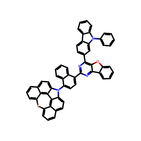 c1ccc(-n2c3ccccc3c3ccc(-c4nc(-c5ccc(-n6c7ccc8cccc9sc%10cccc%11ccc6c(c%11%10)c7c89)c6ccccc56)nc5c4oc4ccccc45)cc32)cc1